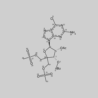 CCCCO[C@H]1[C@@H](OC(C)=O)[C@H](n2cnc3c(Cl)nc(N)nc32)OC1(COS(C)(=O)=O)COS(C)(=O)=O